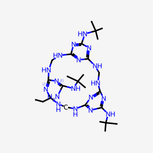 CCC1/N=C(\N=C(/N)NC(C)(C)C)NCNc2nc(nc(NC(C)(C)C)n2)NCNc2nc(nc(NC(C)(C)C)n2)NCN1